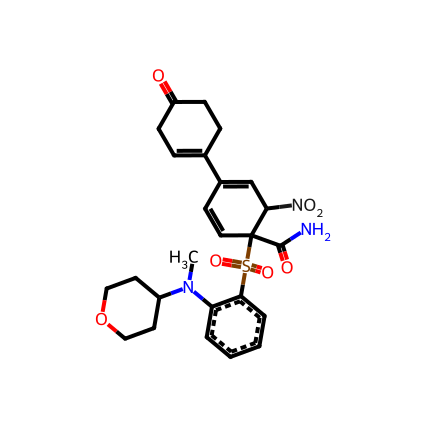 CN(c1ccccc1S(=O)(=O)C1(C(N)=O)C=CC(C2=CCC(=O)CC2)=CC1[N+](=O)[O-])C1CCOCC1